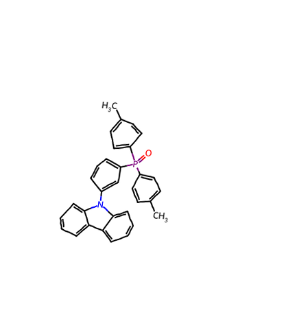 Cc1ccc(P(=O)(c2ccc(C)cc2)c2cccc(-n3c4ccccc4c4ccccc43)c2)cc1